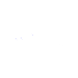 Cc1cc(F)c(C(=O)Nc2cccc(-c3nnnn3C(C)C)n2)cc1-c1cccnc1